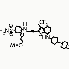 COCCOc1cc(S(N)(=O)=O)ccc1NCC#Cc1sc2c(NC3CCC(N4CCOCC4)CC3)cccc2c1CC(F)(F)F